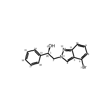 O[C@@H](Cn1cc2c(Br)cccc2n1)c1ccccc1